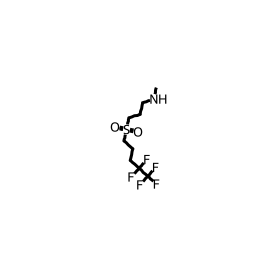 CNCCCS(=O)(=O)CCCC(F)(F)C(F)(F)F